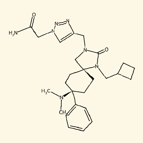 CN(C)[C@]1(c2ccccc2)CC[C@@]2(CC1)CN(Cc1cn(CC(N)=O)nn1)C(=O)N2CC1CCC1